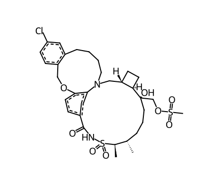 C[C@@H]1[C@@H](C)CCC[C@@](O)(COS(C)(=O)=O)[C@@H]2CC[C@H]2CN2CCCCc3cc(Cl)ccc3COc3ccc(cc32)C(=O)NS1(=O)=O